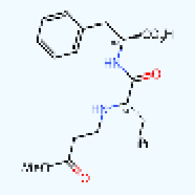 COC(=O)CCN[C@@H](CC(C)C)C(=O)N[C@@H](Cc1ccccc1)C(=O)O